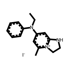 CCN(c1ccccc1)c1cc(C)[n+]2c(c1)NCC2.[I-]